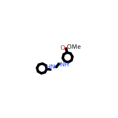 COC(=O)C1CCCCC(NCCNCC2CCCCCCC2)CC1